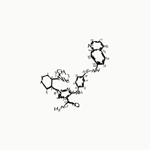 CNC1CCCCC1n1cc(C(N)=O)c(Nc2ccc(SNc3ccc4cccnc4c3)cc2)n1